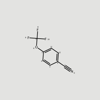 N#Cc1c[c]c(OC(F)(F)F)cc1